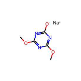 COc1nc([O-])nc(OC)n1.[Na+]